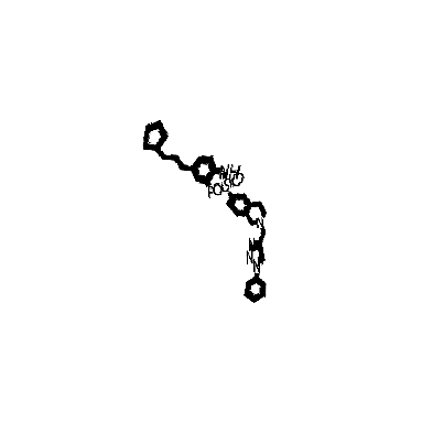 O=S(=O)(Nc1ccc(CCCC2CCCC2)cc1F)c1ccc2c(c1)CCN(Cc1cn(-c3ccccc3)nn1)C2